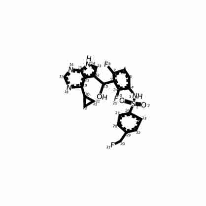 O=S(=O)(Nc1ccc(F)c(C(O)c2c[nH]c3ncnc(C4CC4)c23)c1F)c1ccc(CF)cc1